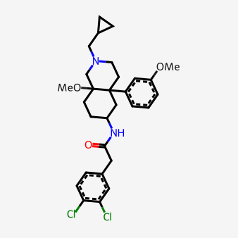 COc1cccc(C23CCN(CC4CC4)CC2(OC)CCC(NC(=O)Cc2ccc(Cl)c(Cl)c2)C3)c1